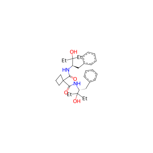 CCC(O)(CC)[C@@H](Cc1ccccc1)NC(=O)C1(C(=O)N[C@H](Cc2ccccc2)C(O)(CC)CC)CCC1